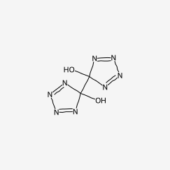 OC1(C2(O)N=NN=N2)N=NN=N1